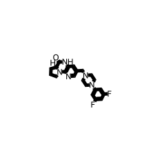 O=C1Nc2cc(CN3CCN(c4cc(F)cc(F)c4)CC3)cnc2N2CCC[C@@H]12